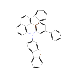 c1ccc(-c2cccc(N(c3ccc4c(c3)sc3ccccc34)c3cccc4ccc5c6ccccc6sc5c34)c2)cc1